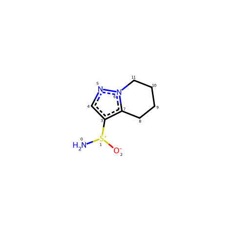 N[S+]([O-])c1cnn2c1CCCC2